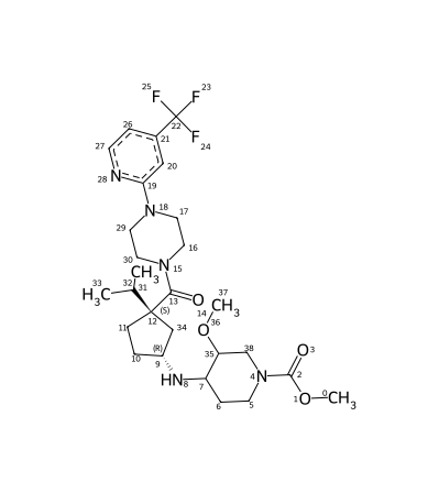 COC(=O)N1CCC(N[C@@H]2CC[C@@](C(=O)N3CCN(c4cc(C(F)(F)F)ccn4)CC3)(C(C)C)C2)C(OC)C1